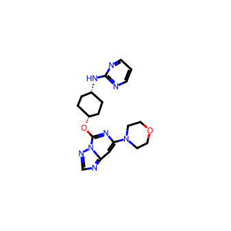 c1cnc(N[C@H]2CC[C@@H](Oc3nc(N4CCOCC4)cc4ncnn34)CC2)nc1